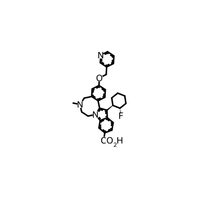 CN1CCn2c(c([C@H]3CCCC[C@@H]3F)c3ccc(C(=O)O)cc32)-c2ccc(OCc3cccnc3)cc2C1